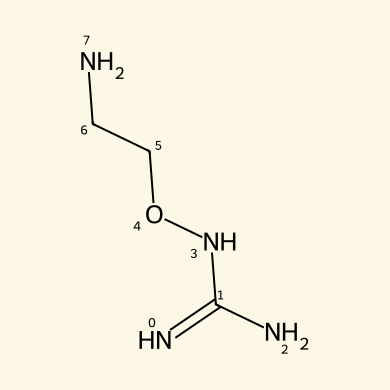 N=C(N)NOCCN